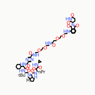 CCC[C@H](NC(=O)[C@@H]1C2CCC[C@H]2CN1C(=O)[C@@H](NC(=O)[C@@H](NC(=O)c1cnc(C(=O)NCCOCCOCCNC(=O)CCOCCOCCNc2cccc3c2C(=O)N(C2CCC(=O)NC2=O)C3=O)cn1)C1CCCCC1)C(C)(C)C)C(=O)C(=O)NC1CC1